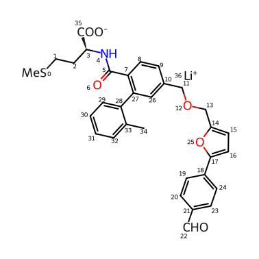 CSCC[C@H](NC(=O)c1ccc(COCc2ccc(-c3ccc(C=O)cc3)o2)cc1-c1ccccc1C)C(=O)[O-].[Li+]